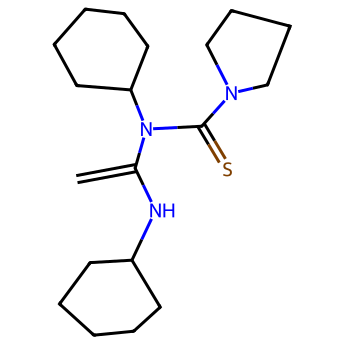 C=C(NC1CCCCC1)N(C(=S)N1CCCC1)C1CCCCC1